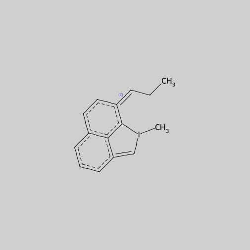 CC/C=c1/ccc2cccc3c2c1I(C)C=3